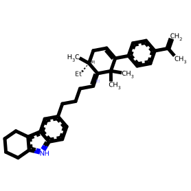 C=C(C)c1ccc(C2=CC[C@@](C)(CC)/C(=C\CCCc3ccc4[nH]c5c(c4c3)CCCC5)C2(C)C)cc1